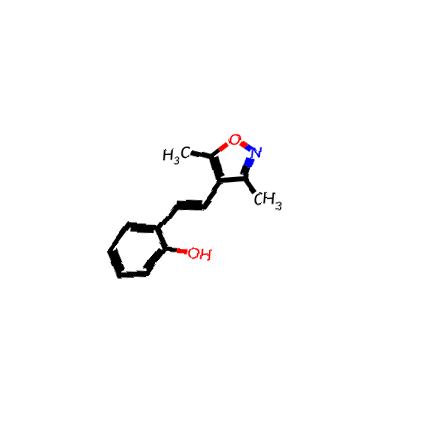 Cc1noc(C)c1C=Cc1ccccc1O